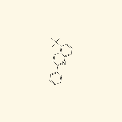 CC(C)(C)c1cccc2nc(-c3ccccc3)ccc12